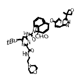 CC(C)(C)c1cc(NC(=O)N[C@@]2(C=O)C=C[C@@H](Oc3ccc4nnc(C5(C)COC5)n4c3)c3ccccc32)nc(C(=O)NCCN2CCOCC2)n1